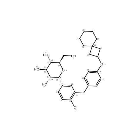 OC[C@H]1O[C@H](c2ccc(Cl)c(Cc3ccc(OC4CC5(CCCCC5)C4)cc3)c2)[C@H](O)[C@@H](O)[C@@H]1O